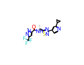 C[C@@H](NC(=O)c1cc(C(F)(F)F)nn1C)c1nc(-c2ccnc(C3CC3)c2)ns1